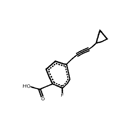 O=C(O)c1ccc(C#CC2CC2)cc1F